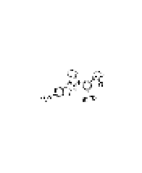 CC(C)[C@@]1(c2ccc(N)cc2)C[C@@]12C(=O)N(c1cc(C(=O)O)cc(N3CCOC3=O)c1)c1ccccc12